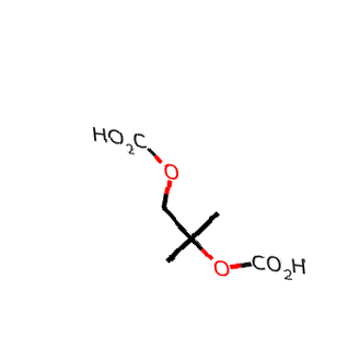 CC(C)(COC(=O)O)OC(=O)O